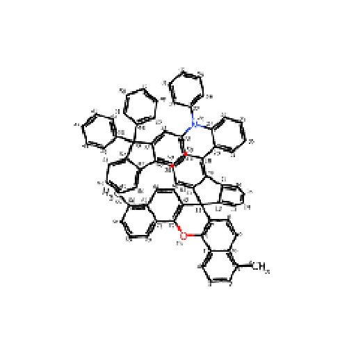 Cc1cccc2c3c(ccc12)C1(c2ccccc2-c2c(-c4ccccc4N(c4ccccc4)c4ccc5c(c4)C(c4ccccc4)(c4ccccc4)c4ccccc4-5)cccc21)c1ccc2c(C)cccc2c1O3